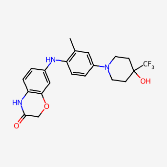 Cc1cc(N2CCC(O)(C(F)(F)F)CC2)ccc1Nc1ccc2c(c1)OCC(=O)N2